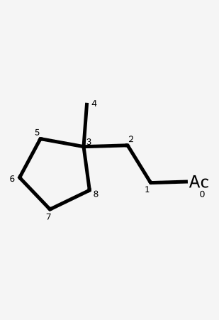 CC(=O)CCC1(C)CCCC1